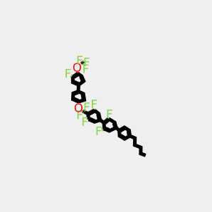 CCCCCc1ccc(-c2cc(F)c(-c3cc(F)c(C(F)(F)Oc4ccc(-c5ccc(OC(F)(F)F)c(F)c5)cc4)c(F)c3)c(F)c2)cc1